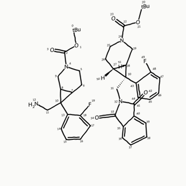 CC(C)(C)OC(=O)N1CCC2C(C1)C2(CN)c1ccccc1F.CC(C)(C)OC(=O)N1CC[C@@H]2[C@H](C1)[C@@]2(CN1C(=O)c2ccccc2C1=O)c1ccccc1F